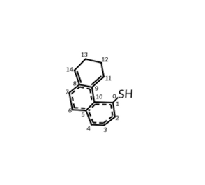 Sc1cccc2ccc3c(c12)=CCCC=3